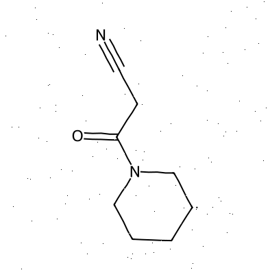 N#CCC(=O)N1C[CH]CCC1